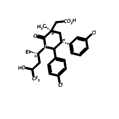 CC[C@@H](CC(O)C(F)(F)F)N1C(=O)[C@@](C)(CC(=O)O)C[C@H](c2cccc(Cl)c2)C1c1ccc(Cl)cc1